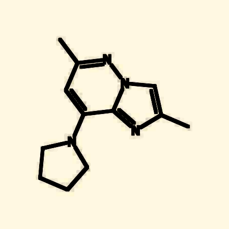 Cc1cn2nc(C)cc(N3CCCC3)c2n1